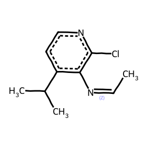 C/C=N\c1c(C(C)C)ccnc1Cl